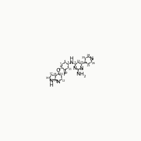 Nc1nc(Nc2ccc(Oc3ccnc4[nH]ccc34)c(F)c2)cc(-c2ccncc2)n1